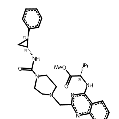 COC(=O)[C@@H](Nc1nc(CN2CCN(C(=O)N[C@@H]3C[C@H]3c3ccccc3)CC2)nc2ccccc12)C(C)C